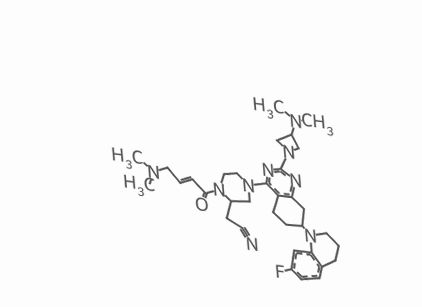 CN(C)CC=CC(=O)N1CCN(c2nc(N3CC(N(C)C)C3)nc3c2CCC(N2CCCc4ccc(F)cc42)C3)CC1CC#N